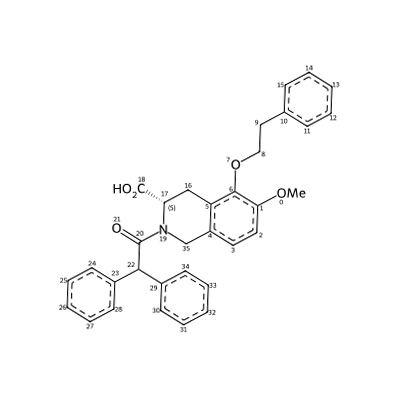 COc1ccc2c(c1OCCc1ccccc1)C[C@@H](C(=O)O)N(C(=O)C(c1ccccc1)c1ccccc1)C2